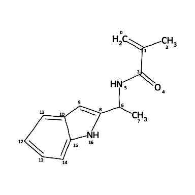 C=C(C)C(=O)NC(C)c1cc2ccccc2[nH]1